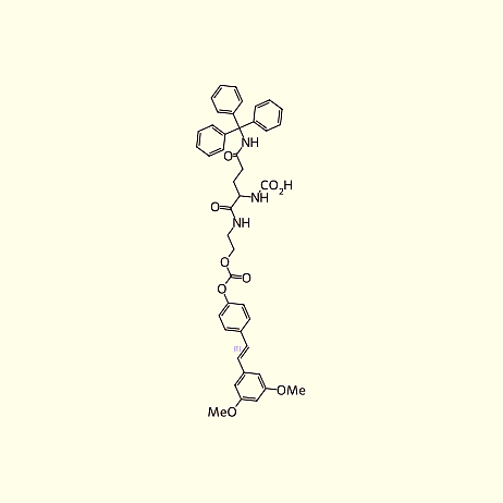 COc1cc(/C=C/c2ccc(OC(=O)OCCNC(=O)C(CCC(=O)NC(c3ccccc3)(c3ccccc3)c3ccccc3)NC(=O)O)cc2)cc(OC)c1